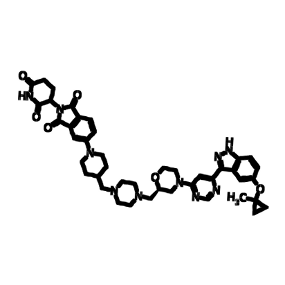 CC1(Oc2ccc3[nH]nc(-c4cc(N5CCO[C@H](CN6CCN(CC7CCN(c8ccc9c(c8)C(=O)N(C8CCC(=O)NC8=O)C9=O)CC7)CC6)C5)ncn4)c3c2)CC1